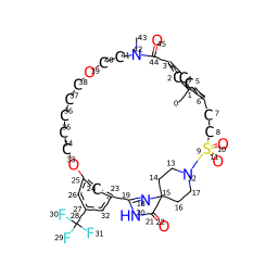 Cc1cc2ccc1CCS(=O)(=O)N1CCC3(CC1)N=C(NC3=O)c1cc(cc(C(F)(F)F)c1)OCCCCCOCCN(C)C2=O